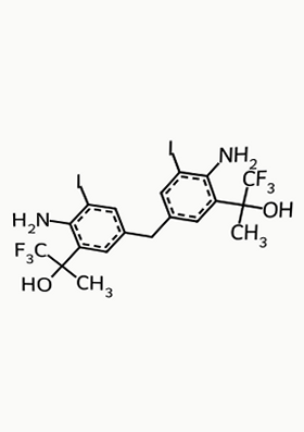 CC(O)(c1cc(Cc2cc(I)c(N)c(C(C)(O)C(F)(F)F)c2)cc(I)c1N)C(F)(F)F